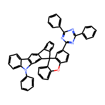 c1ccc(-c2nc(-c3ccccc3)nc(-c3ccc4c(c3)C3(c5ccccc5O4)c4ccccc4-c4cc5c6ccccc6n(-c6ccccc6)c5cc43)n2)cc1